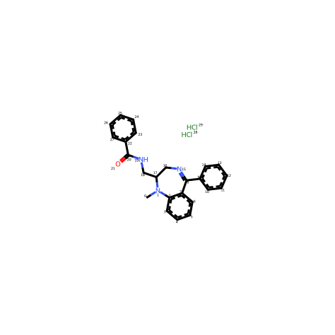 CN1c2ccccc2C(c2ccccc2)=NCC1CNC(=O)c1ccccc1.Cl.Cl